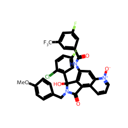 COc1ccc(CN2C(=O)c3c(c(NC(=O)c4cc(F)cc(C(F)(F)F)c4)cc4c3ccc[n+]4[O-])C2(O)c2cc(F)ccc2Cl)cc1